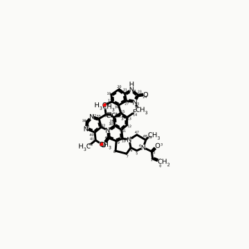 C=CC(=O)N1CC2CCc3c(c4cc(F)c(-c5c(C)ccc6[nH]c(=O)n(C)c56)c(Cl)c4n(-c4c(C(C)C)ncnc4C(C)C)c3=O)N2CC1C